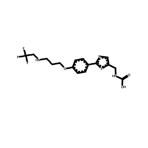 O=C(O)NCc1cnc(-c2ccc(OCCCNCC(F)(F)F)cc2)s1